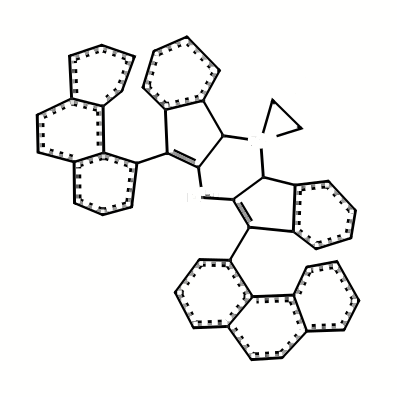 CCC(C)C1=C(c2cccc3ccc4ccccc4c23)c2ccccc2[CH]1[Zr+2]1([CH]2C(C(C)CC)=C(c3cccc4ccc5ccccc5c34)c3ccccc32)[CH2][CH2]1.[Cl-].[Cl-]